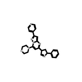 C1=NC(c2ccccc2)CC1c1cc(N2CCOCC2)n2nc(-c3ccncc3)cc2n1